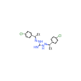 CC/C(=N\NC(=N)N/N=C(\CC)c1ccc(Cl)cc1)c1ccc(Cl)cc1